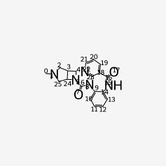 CN1CC2CN(C(=O)N3c4ccccc4NC(=O)c4cccnc43)C2C1